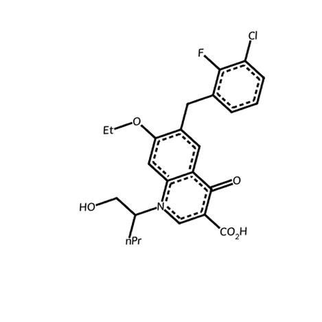 CCCC(CO)n1cc(C(=O)O)c(=O)c2cc(Cc3cccc(Cl)c3F)c(OCC)cc21